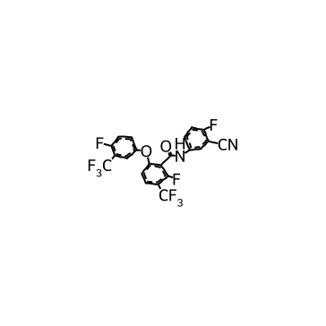 N#Cc1cc(NC(=O)c2c(Oc3ccc(F)c(C(F)(F)F)c3)ccc(C(F)(F)F)c2F)ccc1F